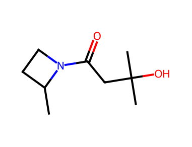 CC1CCN1C(=O)CC(C)(C)O